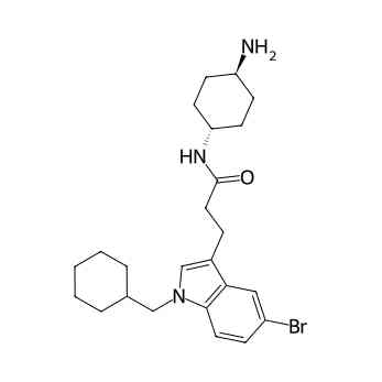 N[C@H]1CC[C@H](NC(=O)CCc2cn(CC3CCCCC3)c3ccc(Br)cc23)CC1